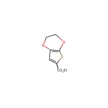 CCOC(=O)c1cc2c(s1)OCCO2